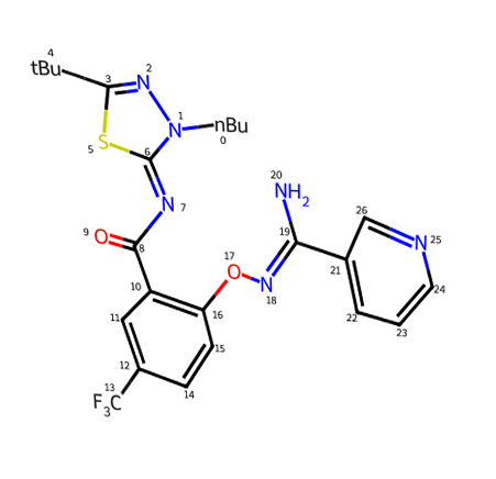 CCCCn1nc(C(C)(C)C)s/c1=N\C(=O)c1cc(C(F)(F)F)ccc1O/N=C(\N)c1cccnc1